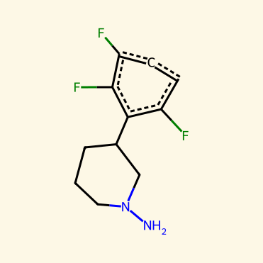 NN1CCCC(c2c(F)ccc(F)c2F)C1